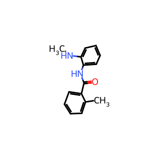 CNc1ccccc1NC(=O)c1ccccc1C